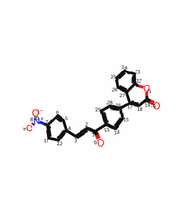 O=C(C=Cc1ccc([N+](=O)[O-])cc1)c1ccc(-c2cc(=O)oc3ccccc23)cc1